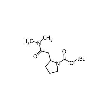 CN(C)C(=O)CC1CCCN1C(=O)OC(C)(C)C